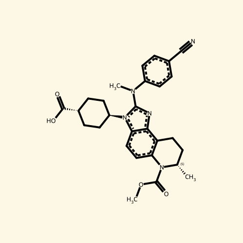 COC(=O)N1c2ccc3c(nc(N(C)c4ccc(C#N)cc4)n3[C@H]3CC[C@H](C(=O)O)CC3)c2CC[C@@H]1C